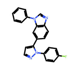 Fc1ccc(-n2nccc2-c2ccc3ncn(-c4ccccc4)c3c2)cc1